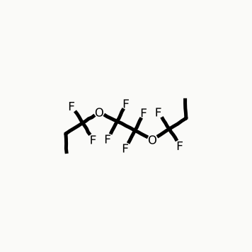 CCC(F)(F)OC(F)(F)C(F)(F)OC(F)(F)CC